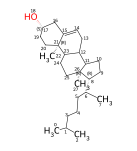 CC(C)CCCC(C)[C@H]1CCC2C3CC=C4C[C@@H](O)CC[C@]4(C)C3CC[C@@]21C